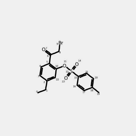 CCc1ccc(C(=O)CBr)c(OS(=O)(=O)c2ccc(C)cc2)c1